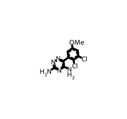 COc1cc(Cl)c(Cl)c(-c2nnc(N)nc2N)c1